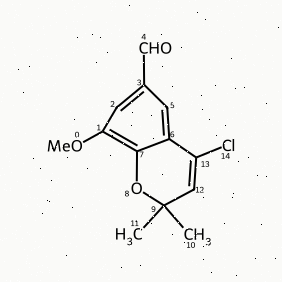 COc1cc(C=O)cc2c1OC(C)(C)C=C2Cl